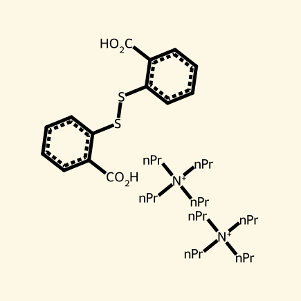 CCC[N+](CCC)(CCC)CCC.CCC[N+](CCC)(CCC)CCC.O=C(O)c1ccccc1SSc1ccccc1C(=O)O